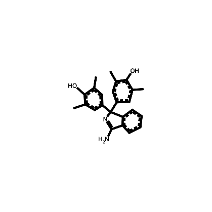 Cc1cc(C2(c3cc(C)c(O)c(C)c3)N=C(N)c3ccccc32)cc(C)c1O